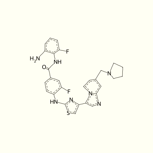 Nc1cccc(F)c1NC(=O)c1ccc(Nc2nc(-c3cnc4cc(CN5CCCC5)ccn34)cs2)c(F)c1